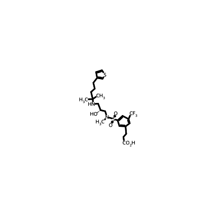 CN(C[C@H](O)CNC(C)(C)CCCc1ccsc1)S(=O)(=O)c1cc(CCC(=O)O)cc(C(F)(F)F)c1